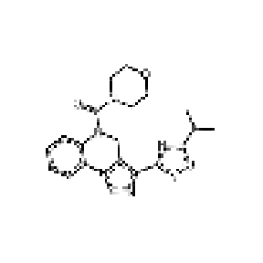 CC(C)c1nc(-c2ncn3c2CN(C(=O)N2CCOCC2)c2ccccc2-3)no1